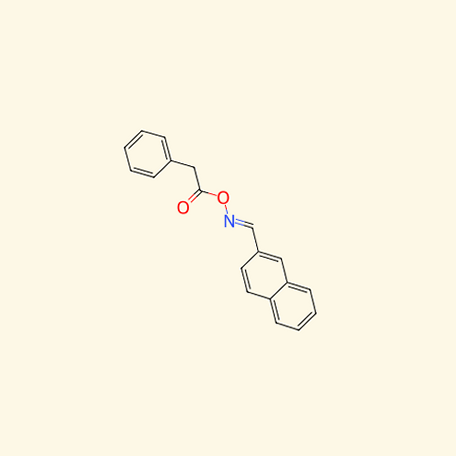 O=C(Cc1ccccc1)O/N=C/c1ccc2ccccc2c1